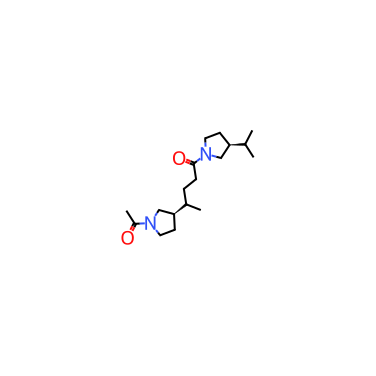 CC(=O)N1CC[C@H](C(C)CCC(=O)N2CC[C@@H](C(C)C)C2)C1